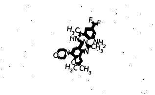 Cc1nc(NC(C)c2cc(N)cc(C(F)F)c2)c2cc(N3CCOCC3)c3c(c2n1)CC(C)(C)O3